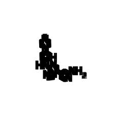 CN1CCN(c2ccc(NC3NC=C(c4ccnc(N)c4)n4ccnc43)cc2)CC1